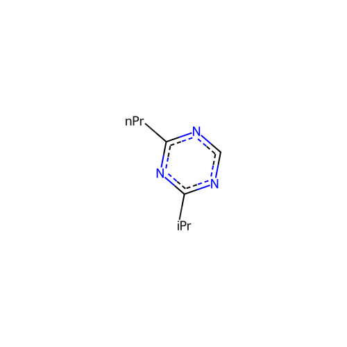 CCCc1ncnc(C(C)C)n1